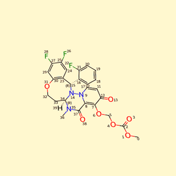 COC(=O)OCOc1c2n(ccc1=O)N1[C@@H](c3ccccc3F)c3cc(F)c(F)cc3OCC[C@@H]1N(C)C2=O